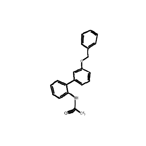 CC(=O)Nc1ccccc1-c1cccc(OCc2ccccc2)c1